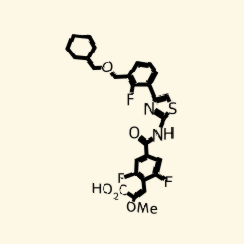 COC(=Cc1c(F)cc(C(=O)Nc2nc(-c3cccc(COCC4CCCCC4)c3F)cs2)cc1F)C(=O)O